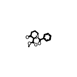 COC(=O)C1C(=O)CCCN1C(=O)c1ccccc1